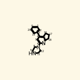 c1ccc(-c2cc(N3CCNCC3)nc3c2CCC3)cc1